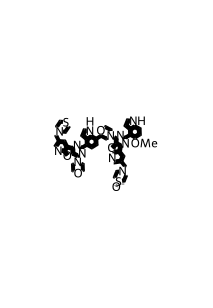 COc1ccc2[nH]ccc2c1-c1nc(N2CCOC(c3ccc(-c4nc(N5CCOCC5)c5oc6ncc(CN7CCSCC7)cc6c5n4)c4cc[nH]c34)C2)c2oc3ncc(CN4CC[S+]([O-])CC4)cc3c2n1